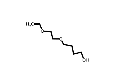 C=COCCOCCCCO